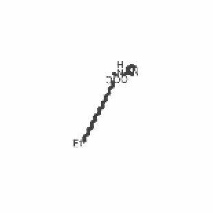 CCC=CCC=CCC=CCC=CCC=CCCCC(=O)OC(C)NC(=O)c1cccnc1